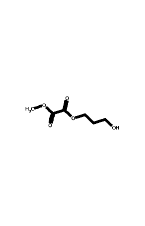 COC(=O)C(=O)OCCCO